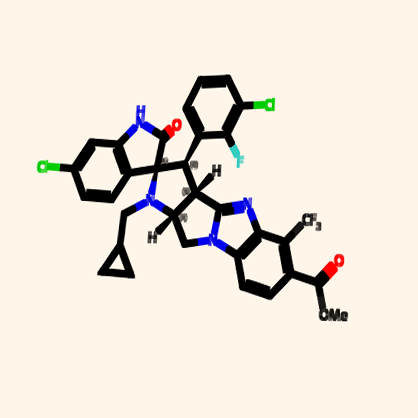 COC(=O)c1ccc2c(nc3n2C[C@H]2[C@@H]3[C@H](c3cccc(Cl)c3F)[C@]3(C(=O)Nc4cc(Cl)ccc43)N2CC2CC2)c1C(F)(F)F